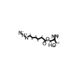 [N-]=[N+]=NCCCCCC(=O)OCC1(CO)N=N1